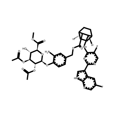 COC(=O)[C@H]1O[C@@H](Oc2ccc(COC(=O)[C@H]3C4CCC(CC4)[C@@H]3Nc3nc(-c4c[nH]c5ncc(F)cc45)ncc3F)cc2N)[C@H](OC(C)=O)[C@@H](OC(C)=O)[C@@H]1O